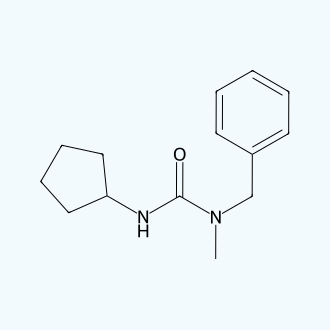 CN(Cc1ccccc1)C(=O)NC1CCCC1